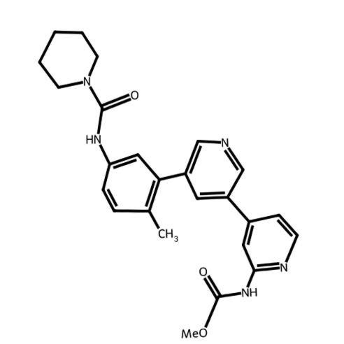 COC(=O)Nc1cc(-c2cncc(-c3cc(NC(=O)N4CCCCC4)ccc3C)c2)ccn1